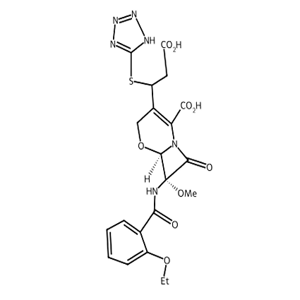 CCOc1ccccc1C(=O)N[C@]1(OC)C(=O)N2C(C(=O)O)=C(C(CC(=O)O)Sc3nnn[nH]3)CO[C@@H]21